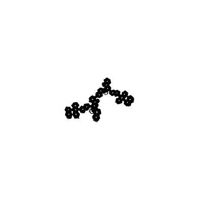 CC1(C)c2cc3c(oc4c5ccccc5ccc34)c(-c3ccc4cc(-c5c6ccccc6c(-c6cccc7ccccc67)c6ccccc56)ccc4c3)c2-c2cccc(-c3ccc4c(ccc5c4oc4c(-c6ccc7cc(-c8c9ccccc9c(-c9cccc%10ccccc9%10)c9ccccc89)ccc7c6)cc6c(c45)C(C)(C)c4ccccc4-6)c3)c21